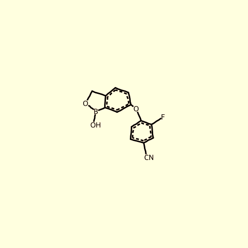 N#Cc1ccc(Oc2ccc3c(c2)B(O)OC3)c(F)c1